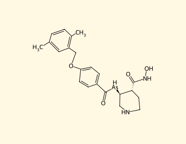 Cc1ccc(C)c(COc2ccc(C(=O)[AsH][C@@H]3CNCC[C@H]3C(=O)NO)cc2)c1